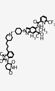 Cn1c(=O)n(C2CCC(=O)NC2=O)c2cccc(CCCC3CCN(C[C@H]4CC[C@H](n5cc6cc(NC(=O)c7cccc(C(F)(F)F)n7)c(C(C)(C)O)cc6n5)CC4)CC3)c21